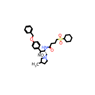 CC1CCN(C[C@@H](NC(=O)CCCS(=O)(=O)C2CCCCC2)C(N=O)c2ccc(OCc3ccccc3)cc2)C1